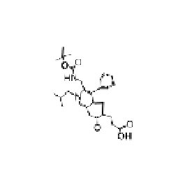 CC(C)CN1C=C2CC(=O)C(/C=C/C(=O)O)C=C2C(c2ccccc2)=C1CNC(=O)OC(C)(C)C